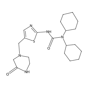 O=C1CN(Cc2cnc(NC(=O)N(C3CCCCC3)C3CCCCC3)s2)CCN1